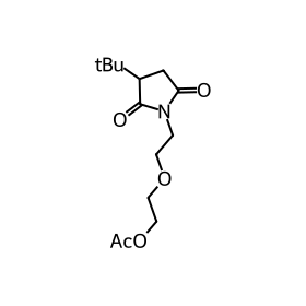 CC(=O)OCCOCCN1C(=O)CC(C(C)(C)C)C1=O